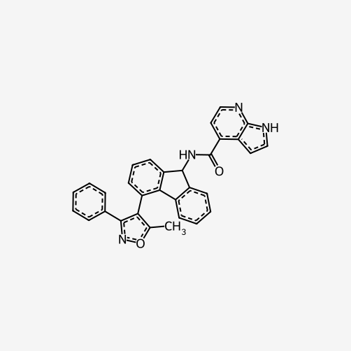 Cc1onc(-c2ccccc2)c1-c1cccc2c1-c1ccccc1C2NC(=O)c1ccnc2[nH]ccc12